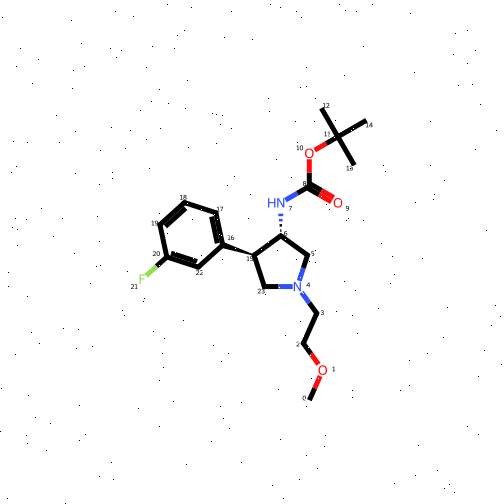 COCCN1C[C@@H](NC(=O)OC(C)(C)C)[C@H](c2cccc(F)c2)C1